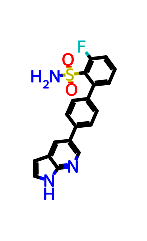 NS(=O)(=O)c1c(F)cccc1-c1ccc(-c2cnc3[nH]ccc3c2)cc1